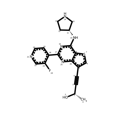 C[C@H](O)C#Cc1csc2c(N[C@@H]3CCNC3)nc(-c3ccncc3F)nc12